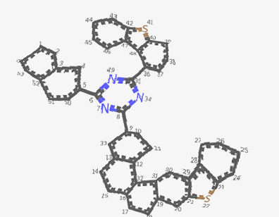 c1ccc2cc(-c3nc(-c4ccc5c(ccc6ccc7cc8sc9ccccc9c8cc7c65)c4)nc(-c4cccc5sc6ccccc6c45)n3)ccc2c1